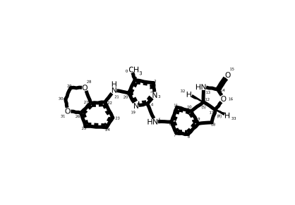 Cc1cnc(Nc2ccc3c(c2)[C@@H]2NC(=O)O[C@@H]2C3)nc1Nc1cccc2c1OCCO2